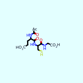 CC(=O)C(=O)NC(CCC(=O)O)C(=O)NC(CS)C(=O)NCC(=O)O